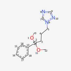 CO[Si](CCCn1cncn1)(OC)c1ccccc1